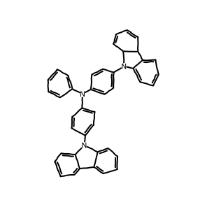 C1=CC2c3ccccc3N(c3ccc(N(c4ccccc4)c4ccc(-n5c6ccccc6c6ccccc65)cc4)cc3)C2C=C1